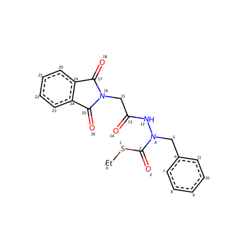 CCSC(=O)N(Cc1ccccc1)NC(=O)CN1C(=O)c2ccccc2C1=O